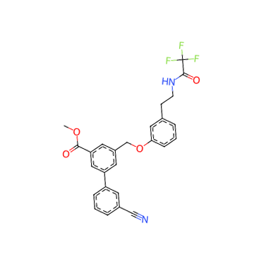 COC(=O)c1cc(COc2cccc(CCNC(=O)C(F)(F)F)c2)cc(-c2cccc(C#N)c2)c1